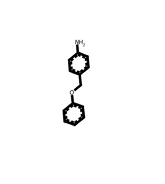 Nc1ccc(COc2cc[c]cc2)cc1